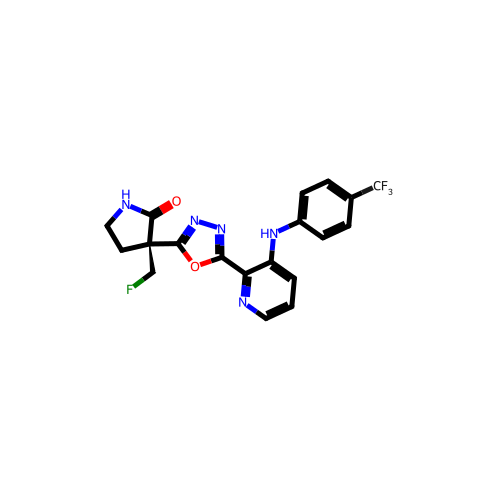 O=C1NCC[C@@]1(CF)c1nnc(-c2ncccc2Nc2ccc(C(F)(F)F)cc2)o1